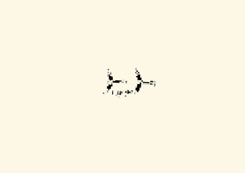 [NH4+].[NH4+].[O]=[V](=[O])[O-].[O]=[V](=[O])[O-]